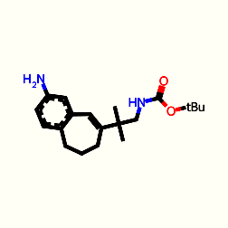 CC(C)(C)OC(=O)NCC(C)(C)C1=Cc2cc(N)ccc2CCC1